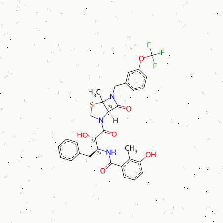 Cc1c(O)cccc1C(=O)N[C@@H](Cc1ccccc1)[C@H](O)C(=O)N1CSC2(C)[C@H]1C(=O)N2Cc1cccc(OC(F)(F)F)c1